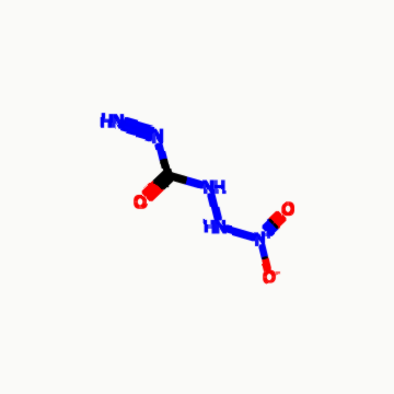 N=NC(=O)NN[N+](=O)[O-]